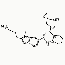 CCCCc1cc2ccc(C(=O)N[C@H]3CCCC[C@@H]3CNCC3(C#N)CC3)cc2[nH]1